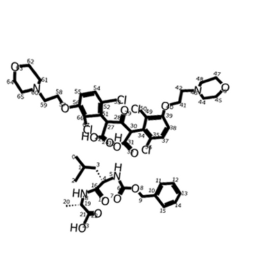 CC(C)C[C@H](NC(=O)OCc1ccccc1)C(=O)N[C@@H](C)C(=O)O.O=C(O)C(C(=O)C(C(=O)O)c1c(Cl)ccc(OCCN2CCOCC2)c1Cl)c1c(Cl)ccc(OCCN2CCOCC2)c1Cl